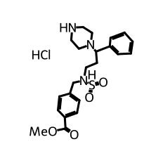 COC(=O)c1ccc(CN(CCC(c2ccccc2)N2CCNCC2)[SH](=O)=O)cc1.Cl